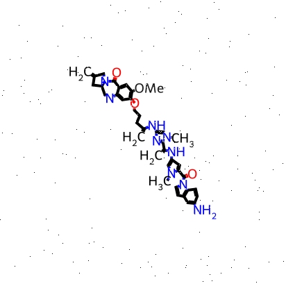 C=C1CC2C=Nc3cc(OCCCC(=C)Nc4cn(C)c(C(=C)Nc5cc(C(=O)n6ccc7cc(N)ccc76)n(C)c5)n4)c(OC)cc3C(=O)N2C1